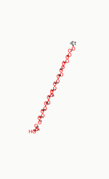 CCOOOOOOOOOOOOOOOOOOOOOOOOOO